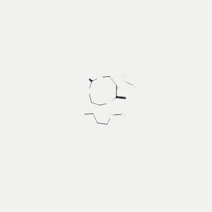 NN[C@@H](CCC(=O)O)C(=O)O.NN[C@H]1CCC(=O)OCCOC1=O